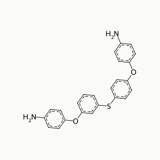 Nc1ccc(Oc2ccc(Sc3cccc(Oc4ccc(N)cc4)c3)cc2)cc1